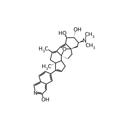 CC1=C2C=C3[C@@H](O)[C@H](O)[C@@H](N(C)C)C[C@]34CC[C@]2(O4)C2CC=C(c3ccc4cnc(O)cc4c3)[C@@]2(C)C1